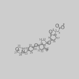 COC(=O)C[C@@H]1COc2cc(O[C@@H]3CCc4c(Oc5ccc(CN6CCOCC6)cc5)ccc(F)c43)ccc21